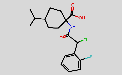 CC(C)C1CCC(NC(=O)C(Cl)c2ccccc2F)(C(=O)O)CC1